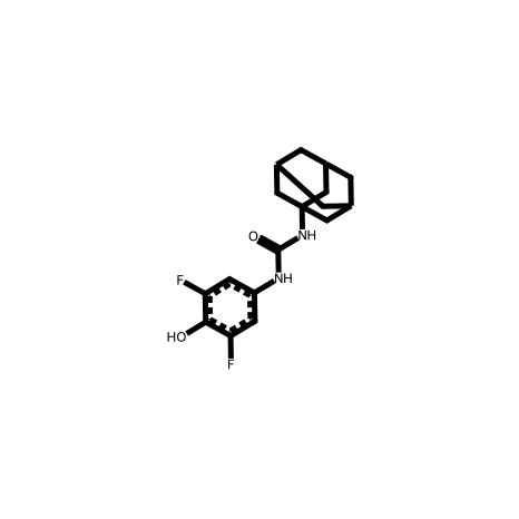 O=C(Nc1cc(F)c(O)c(F)c1)NC12CC3CC(CC(C3)C1)C2